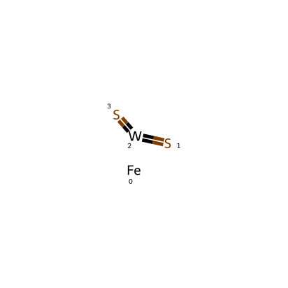 [Fe].[S]=[W]=[S]